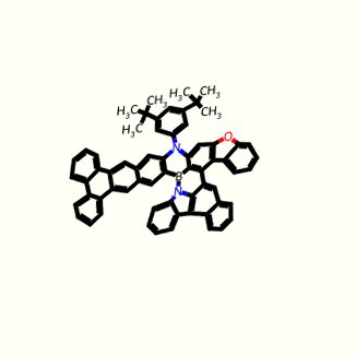 CC(C)(C)c1cc(N2c3cc4cc5c6ccccc6c6ccccc6c5cc4cc3B3c4c2cc2oc5ccccc5c2c4-c2cc4ccccc4c4c5ccccc5n3c24)cc(C(C)(C)C)c1